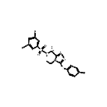 CCn1c(Oc2ccc(F)cc2)nnc1[C@@H](C)NS(=O)(=O)c1cc(F)cc(F)c1